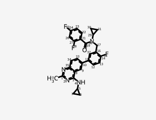 Cc1nc(NC2CC2)c2cc(-c3ccc(F)c(CN(C(=O)c4ccc(F)cc4F)C4CC4)c3)ccc2n1